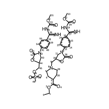 CCOC(=O)C1CCN(CC2CN(c3ccc(C(=N)NC(=O)OC)cc3)C(=O)O2)CC1.COC(=O)NC(=N)c1ccc(N2CC(COS(C)(=O)=O)OC2=O)cc1